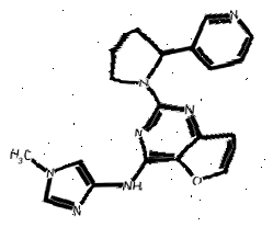 Cn1cnc(Nc2nc(N3CCCC3c3cccnc3)nc3ccoc23)c1